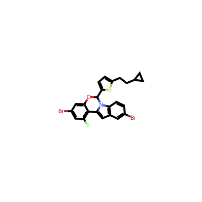 Fc1cc(Br)cc2c1-c1cc3cc(Br)ccc3n1C(c1ccc(CCC3CC3)s1)O2